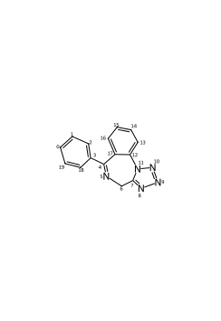 c1ccc(C2=NCc3nnnn3-c3ccccc32)cc1